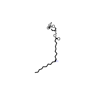 CCCCCCCCC/C=C\CCCCCCCC(=O)OC[C@@H]1COP(=O)(OC)C1